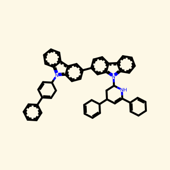 C1=CCC(C2C=C(C3=CCCC=C3)NC(n3c4ccccc4c4ccc(-c5ccc6c(c5)c5ccccc5n6C5C=CC(c6ccccc6)=CC5)cc43)C2)C=C1